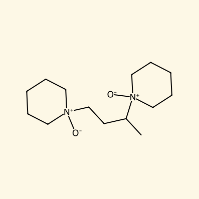 CC(CC[N+]1([O-])CCCCC1)[N+]1([O-])CCCCC1